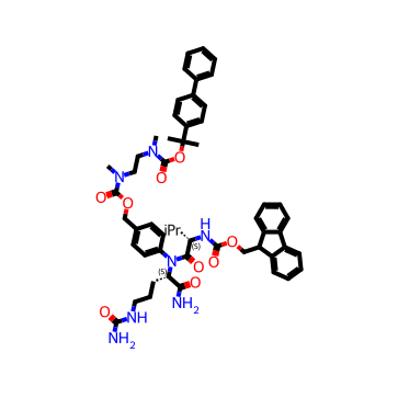 CC(C)[C@H](NC(=O)OCC1c2ccccc2-c2ccccc21)C(=O)N(c1ccc(COC(=O)N(C)CCN(C)C(=O)OC(C)(C)c2ccc(-c3ccccc3)cc2)cc1)[C@@H](CCCNC(N)=O)C(N)=O